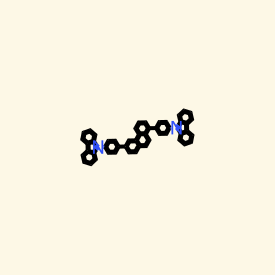 c1cc(-c2ccc(-n3c4ccccc4c4ccccc43)cc2)c2ccc3ccc(-c4ccc(-n5c6ccccc6c6ccccc65)cc4)cc3c2c1